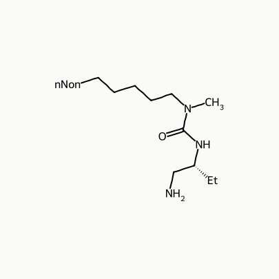 CCCCCCCCCCCCCCN(C)C(=O)N[C@H](CC)CN